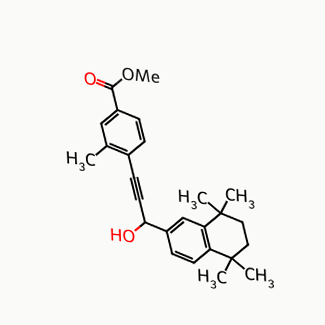 COC(=O)c1ccc(C#CC(O)c2ccc3c(c2)C(C)(C)CCC3(C)C)c(C)c1